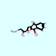 O=C/C=C(\O)c1cc2c(o1)C(=O)c1ccccc1C2=O